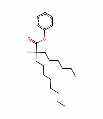 CCCCCCCCC(C)(CCCCCC)C(=O)Oc1ccccc1